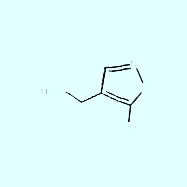 CC(C)c1oncc1CS(=O)(=O)O